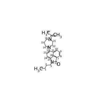 CCCCN1C(=O)c2cccc3c(N4CCCN(C(C)C)CC4)ccc1c23